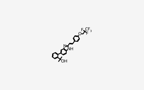 CC(C)(O)c1ccccc1-c1ccc2[nH]c(/C=C/c3ccc(OCC(F)(F)C(F)(F)F)cc3)nc2c1